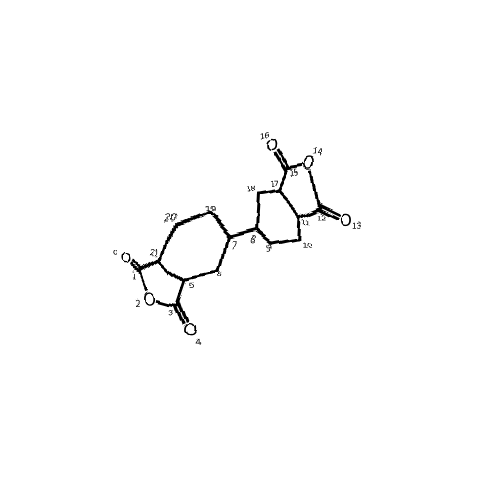 O=C1OC(=O)C2CC(C3CCC4C(=O)OC(=O)C4C3)CCC12